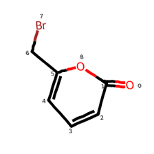 O=c1cccc(CBr)o1